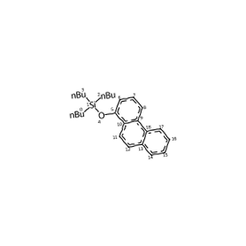 CCCC[Si](CCCC)(CCCC)Oc1cccc2c1ccc1ccccc12